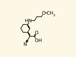 COCCCNC1=C/C(=C(/C#N)C(=O)O)CCC1